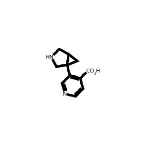 O=C(O)c1ccn[c]c1C12CNCC1C2